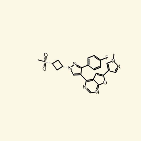 Cn1cc(-c2cc3c(-c4cn([C@H]5C[C@@H](S(C)(=O)=O)C5)nc4-c4ccc(F)cc4)ncnc3o2)cn1